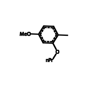 CCCOc1cc(OC)ccc1C